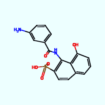 Nc1cccc(C(=O)Nc2c(S(=O)(=O)O)ccc3cccc(O)c23)c1